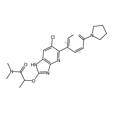 C=C(/C=C\C(=C/C)c1nc2nc(OC(C)C(=O)N(C)C)[nH]c2cc1Cl)N1CCCC1